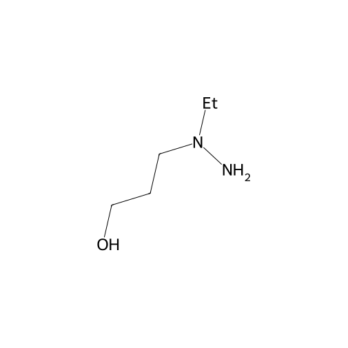 CCN(N)CCCO